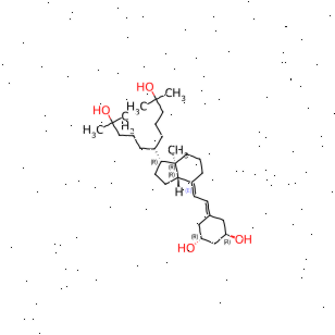 CC(C)(O)CCCC(CCCC(C)(C)O)[C@H]1CC[C@H]2/C(=C/C=C3C[C@@H](O)C[C@H](O)C3)CCC[C@]12C